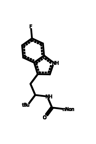 CCCCCCCCCC(=O)NC(Cc1c[nH]c2cc(F)ccc12)C(C)(C)C